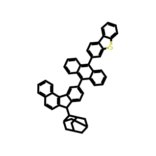 c1ccc2c3c(ccc2c1)C(C1C2CC4CC(C2)CC1C4)c1ccc(-c2c4ccccc4c(-c4ccc5c(c4)sc4ccccc45)c4ccccc24)cc1-3